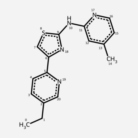 CCc1ccc(-c2csc(Nc3cc(C)ccn3)n2)nc1